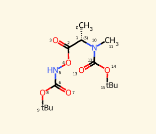 C[C@@H](C(=O)ONC(=O)OC(C)(C)C)N(C)C(=O)OC(C)(C)C